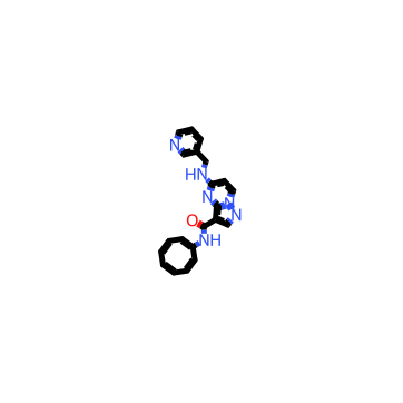 O=C(NC1=CC=CC=CC=C1)c1cnn2ccc(NCc3cccnc3)nc12